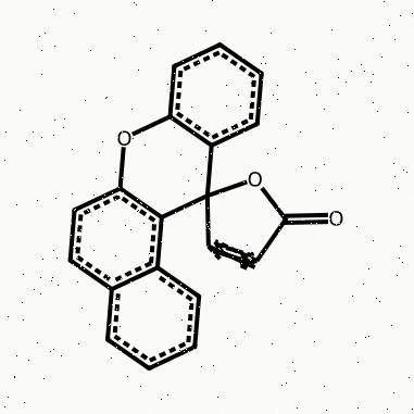 O=C1OC2(c3ccccc3Oc3ccc4ccccc4c32)c2ccccc21